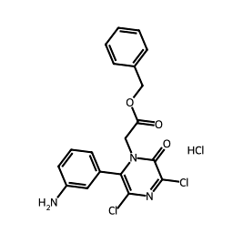 Cl.Nc1cccc(-c2c(Cl)nc(Cl)c(=O)n2CC(=O)OCc2ccccc2)c1